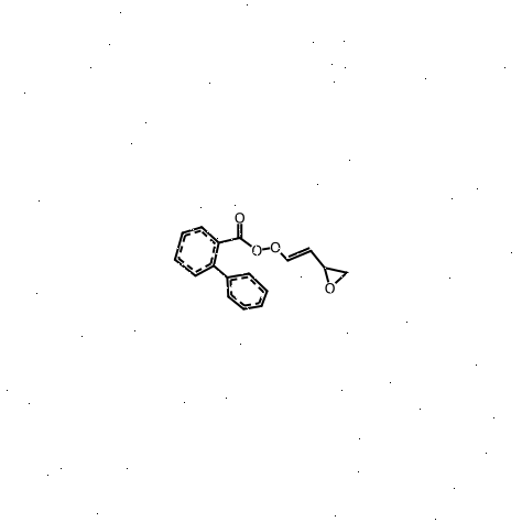 O=C(OOC=CC1CO1)c1ccccc1-c1ccccc1